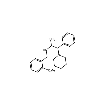 COc1ccccc1CNC(C)C(c1ccccc1)N1CCCCC1